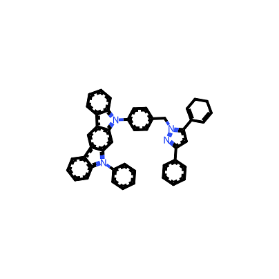 C1=CC(c2cc(-c3ccccc3)nn2Cc2ccc(-n3c4ccccc4c4cc5c6ccccc6n(-c6ccccc6)c5cc43)cc2)=CCC1